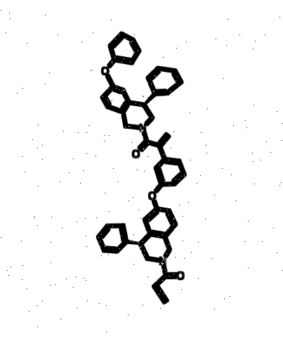 C=CC(=O)N1Cc2ccc(Oc3cccc(C(=C)C(=O)N4Cc5ccc(Oc6ccccc6)cc5[C@@H](c5ccccc5)C4)c3)cc2[C@H](c2ccccc2)C1